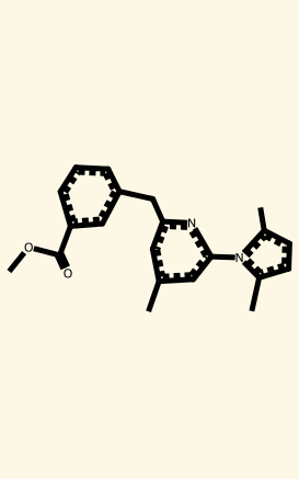 COC(=O)c1cccc(Cc2cc(C)cc(-n3c(C)ccc3C)n2)c1